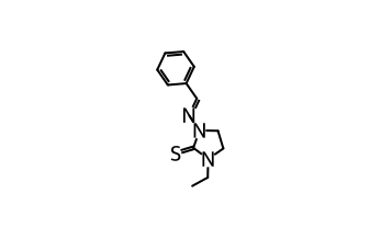 CCN1CCN(/N=C/c2ccccc2)C1=S